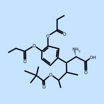 CCC(=O)Oc1ccc(C(C(C)C(C)OC(=O)C(C)(C)C)[C@H](N)C(=O)O)cc1OC(=O)CC